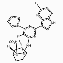 O=C(O)[C@H]1C2CCC(CC2)[C@@H]1Nc1nc(-c2c[nH]c3ncc(F)nc23)nc(-n2cccc2)c1F